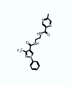 Cc1cnc(C(=O)NCCNC(=O)c2cn(-c3ccccc3)nc2C(F)(F)F)cn1